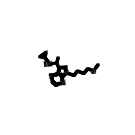 COCCCCn1cc(C(C)NC2CC2)c2nccnc21